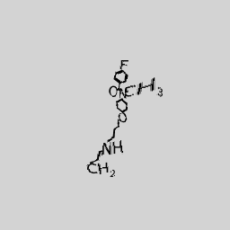 C=CCCNCCCCCOC1CCC(N(C)C(=O)c2ccc(F)cc2)CC1